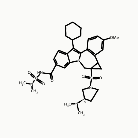 COc1ccc2c(c1)C1CC1(S(=O)(=O)N1CC[C@@H](N(C)C)C1)Cn1c-2c(C2CCCCC2)c2ccc(C(=O)NS(=O)(=O)N(C)C)cc21